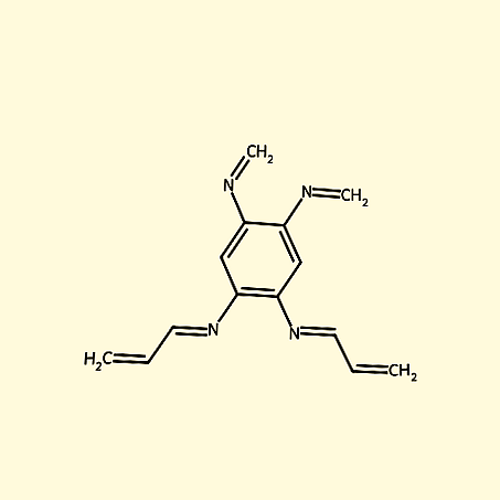 C=CC=Nc1cc(N=C)c(N=C)cc1N=CC=C